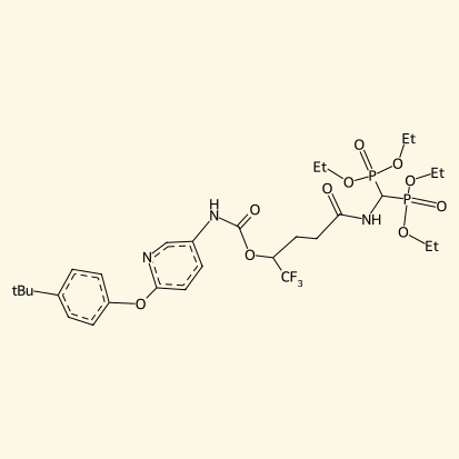 CCOP(=O)(OCC)C(NC(=O)CCC(OC(=O)Nc1ccc(Oc2ccc(C(C)(C)C)cc2)nc1)C(F)(F)F)P(=O)(OCC)OCC